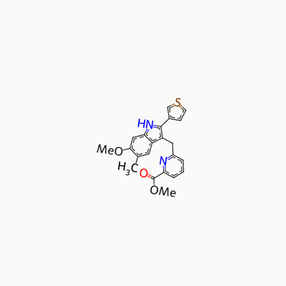 COC(=O)c1cccc(Cc2c(-c3ccsc3)[nH]c3cc(OC)c(C)cc23)n1